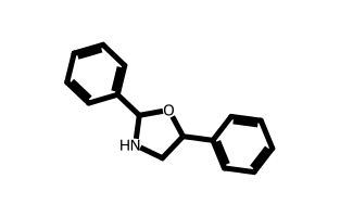 c1ccc(C2CNC(c3ccccc3)O2)cc1